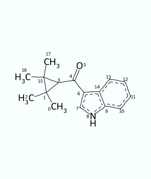 CC1(C)C(C(=O)c2c[nH]c3ccccc23)C1(C)C